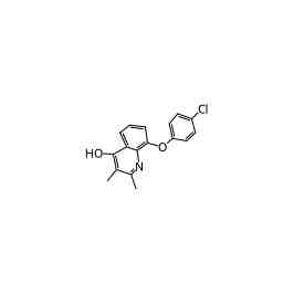 Cc1nc2c(Oc3ccc(Cl)cc3)cccc2c(O)c1C